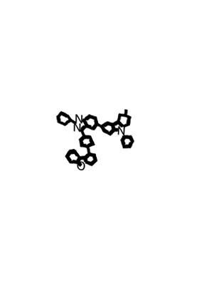 CC1C=Cc2c(c3cc(-c4ccc5nc(C6C=CC=CC6)nc(-c6ccc(-c7cccc8oc9ccc#cc9c78)cc6)c5c4)ccc3n2-c2ccccc2)C1